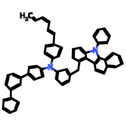 C=C/C=C\C=C\c1ccc(N(c2ccc(-c3cccc(-c4ccccc4)c3)cc2)c2cccc(Cc3cccc4c3c3ccc5ccccc5c3n4-c3ccccc3)c2)cc1